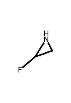 FC1CN1